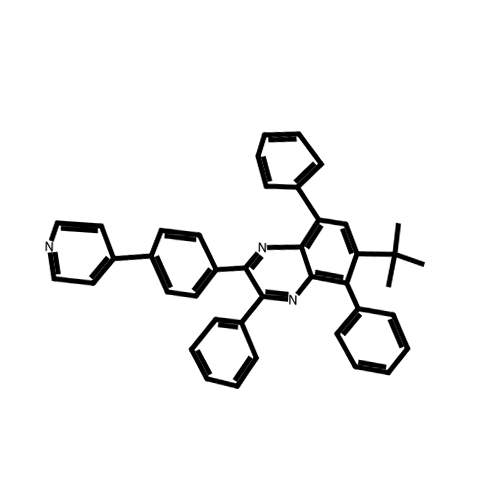 CC(C)(C)c1cc(-c2ccccc2)c2nc(-c3ccc(-c4ccncc4)cc3)c(-c3ccccc3)nc2c1-c1ccccc1